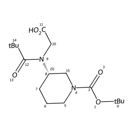 CC(C)(C)OC(=O)N1CCC[C@H](N(CC(=O)O)C(=O)C(C)(C)C)C1